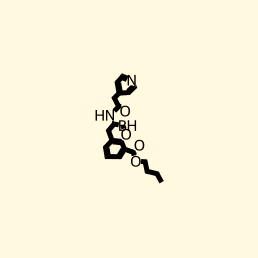 CCCCOC(=O)c1cccc2c1OB[C@@H](NC(=O)Cc1ccncc1)C2